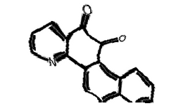 O=C1C(=O)c2c(ccc3ccccc23)-c2ncccc21